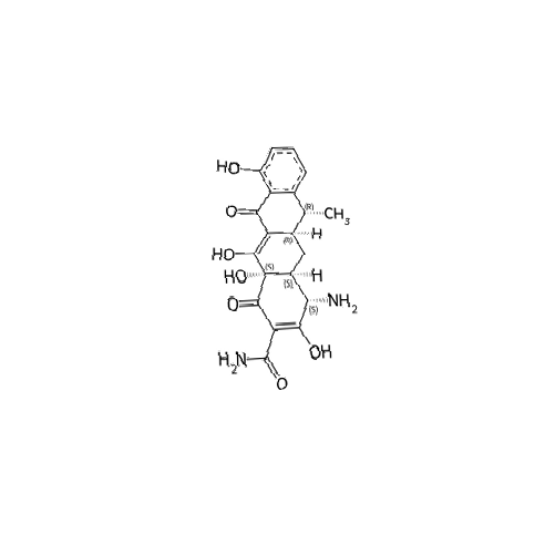 C[C@H]1c2cccc(O)c2C(=O)C2=C(O)[C@]3(O)C(=O)C(C(N)=O)=C(O)[C@@H](N)[C@@H]3C[C@@H]21